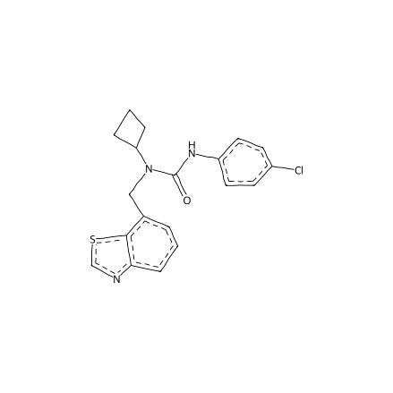 O=C(Nc1ccc(Cl)cc1)N(Cc1cccc2ncsc12)C1CCC1